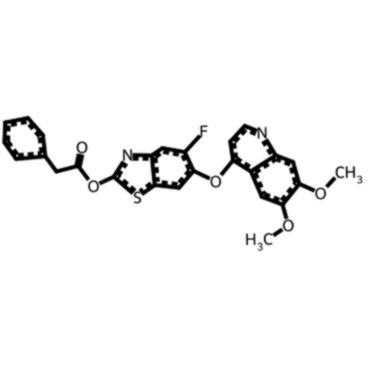 COc1cc2nccc(Oc3cc4sc(OC(=O)Cc5ccccc5)nc4cc3F)c2cc1OC